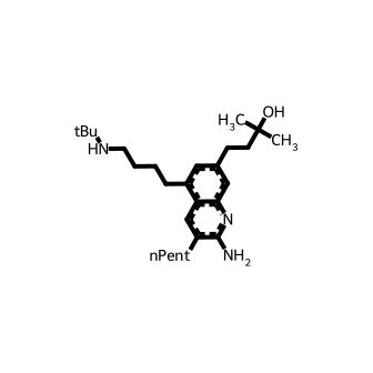 CCCCCc1cc2c(CCCCNC(C)(C)C)cc(CCC(C)(C)O)cc2nc1N